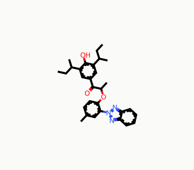 CCC(C)c1cc(C(=O)C(C)Oc2ccc(C)cc2-n2nc3ccccc3n2)cc(C(C)CC)c1O